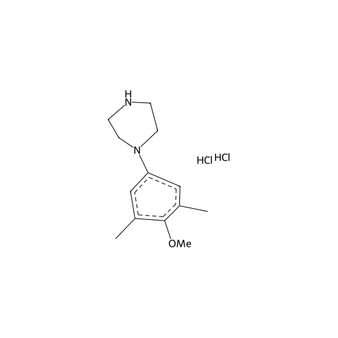 COc1c(C)cc(N2CCNCC2)cc1C.Cl.Cl